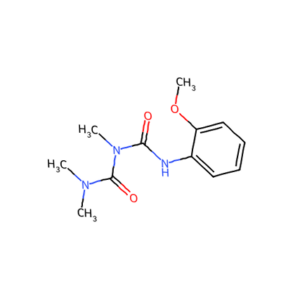 COc1ccccc1NC(=O)N(C)C(=O)N(C)C